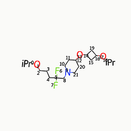 CC(C)OCCCC(F)(F)CN1CCC(OC2CC(OC(C)C)C2)CC1